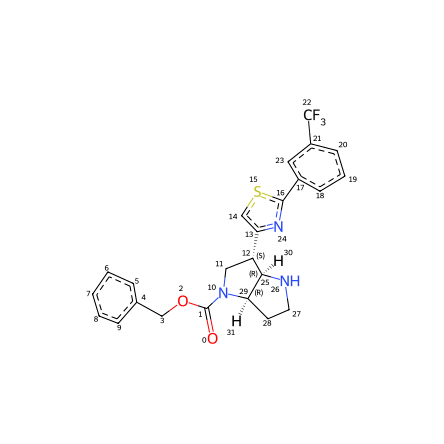 O=C(OCc1ccccc1)N1C[C@H](c2csc(-c3cccc(C(F)(F)F)c3)n2)[C@H]2NCC[C@H]21